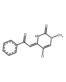 CN1C=C(Cl)/C(=C/C(=O)c2ccccc2)NC1=O